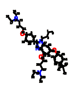 CCCCn1c(-c2ccc(OCCCN(CC)CC)cc2)nc2c(OCCCN(CC)CC)cc(Oc3ccc(C(C)(C)C)cc3)cc21